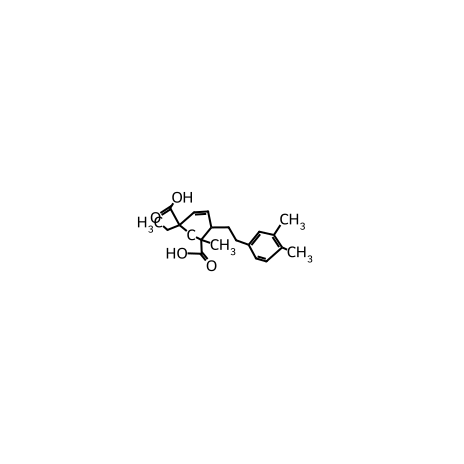 CCC1(C(=O)O)C=CC(CCc2ccc(C)c(C)c2)C(C)(C(=O)O)C1